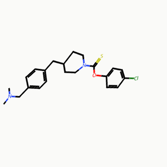 CN(C)Cc1ccc(CC2CCN(C(=S)Oc3ccc(Cl)cc3)CC2)cc1